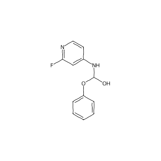 OC(Nc1ccnc(F)c1)Oc1ccccc1